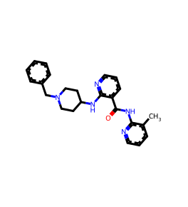 Cc1cccnc1NC(=O)c1cccnc1NC1CCN(Cc2ccccc2)CC1